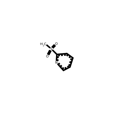 [CH2]S(=O)(=O)c1ccccn1